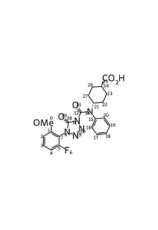 COc1cccc(F)c1-n1nnn(C(=O)N(c2ccccc2)[C@H]2CC[C@H](C(=O)O)CC2)c1=O